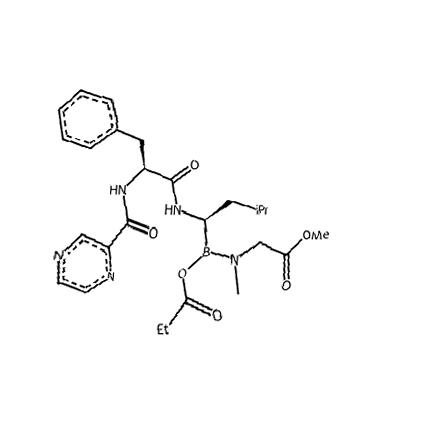 CCC(=O)OB([C@H](CC(C)C)NC(=O)[C@H](Cc1ccccc1)NC(=O)c1cnccn1)N(C)CC(=O)OC